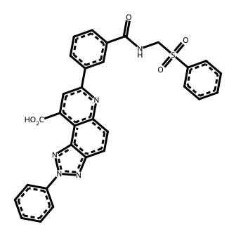 O=C(NCS(=O)(=O)c1ccccc1)c1cccc(-c2cc(C(=O)O)c3c(ccc4nn(-c5ccccc5)nc43)n2)c1